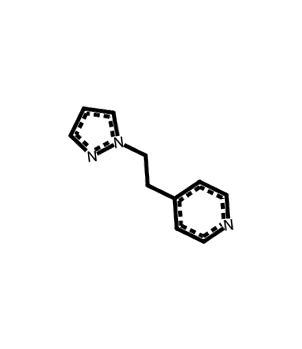 c1cnn(CCc2ccncc2)c1